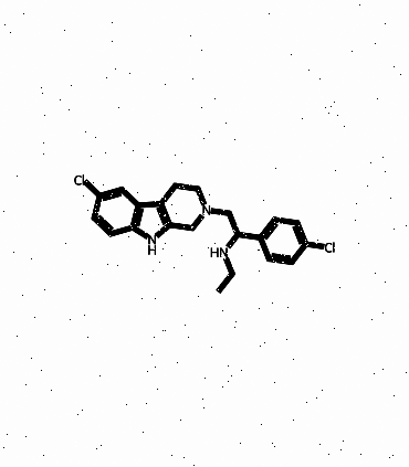 CCNC(CN1CCc2c([nH]c3ccc(Cl)cc23)C1)c1ccc(Cl)cc1